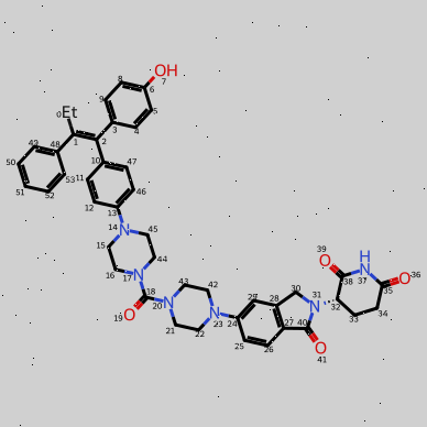 CC/C(=C(\c1ccc(O)cc1)c1ccc(N2CCN(C(=O)N3CCN(c4ccc5c(c4)CN([C@H]4CCC(=O)NC4=O)C5=O)CC3)CC2)cc1)c1ccccc1